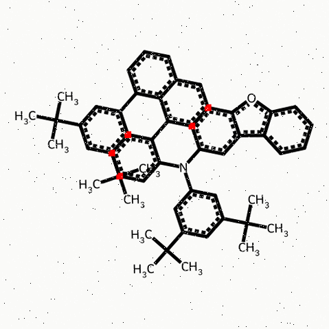 CC(C)(C)c1cc(-c2cccc3cccc(-c4ccccc4N(c4cc(C(C)(C)C)cc(C(C)(C)C)c4)c4ccc5oc6ccccc6c5c4)c23)cc(C(C)(C)C)c1